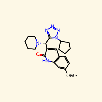 COc1ccc2cc([C@@H](c3nnnn3C3CCCC3)N3CCCCC3)c(=O)[nH]c2c1